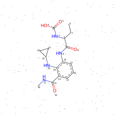 CCC(NC(=O)O)C(=O)Nc1cccc(C(=O)NC)c1NC1CC1